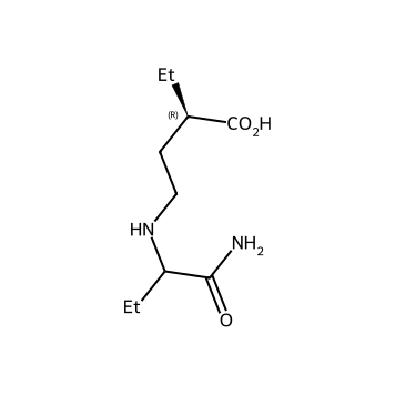 CCC(NCC[C@@H](CC)C(=O)O)C(N)=O